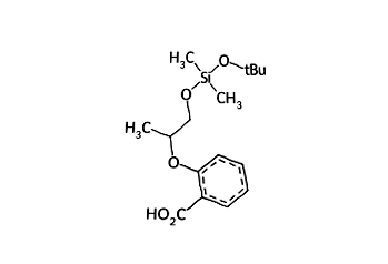 CC(CO[Si](C)(C)OC(C)(C)C)Oc1ccccc1C(=O)O